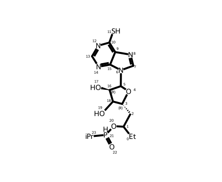 CCC(C[C@H]1OC(n2cnc3c(S)ncnc32)[C@H](O)C1O)O[PH](=O)C(C)C